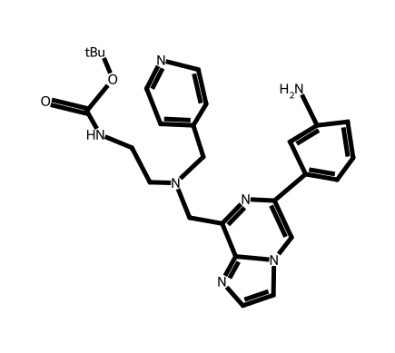 CC(C)(C)OC(=O)NCCN(Cc1ccncc1)Cc1nc(-c2cccc(N)c2)cn2ccnc12